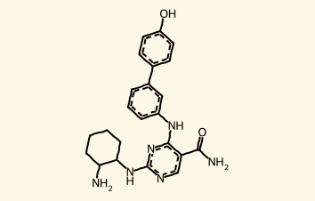 NC(=O)c1cnc(NC2CCCCC2N)nc1Nc1cccc(-c2ccc(O)cc2)c1